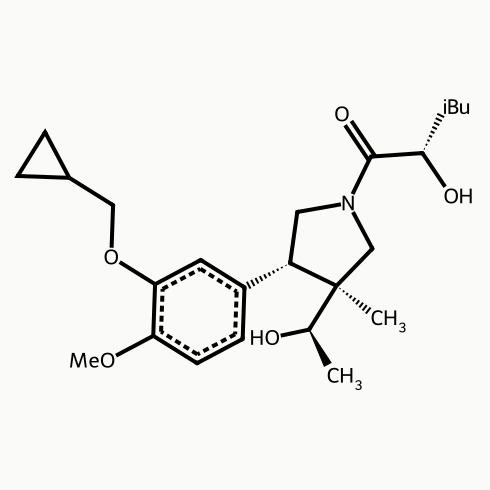 CCC(C)[C@H](O)C(=O)N1C[C@@H](c2ccc(OC)c(OCC3CC3)c2)[C@](C)([C@@H](C)O)C1